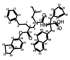 CC(C)CN(CC(CCc1ccccc1)C(=O)Oc1ccc2c(c1)CCC2)C(=O)N[C@@](Cc1ccccc1)(Cc1ccc2ccccc2c1)C(=O)O